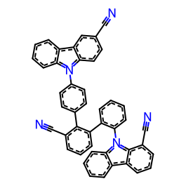 N#Cc1ccc2c(c1)c1ccccc1n2-c1ccc(-c2c(C#N)cccc2-c2ccccc2-n2c3ccccc3c3cccc(C#N)c32)cc1